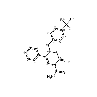 NC(=O)N1C=C(c2ccncc2)N(Cc2ccc(C(F)(F)F)cc2)CC1=O